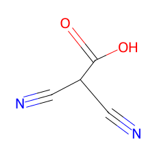 N#CC(C#N)C(=O)O